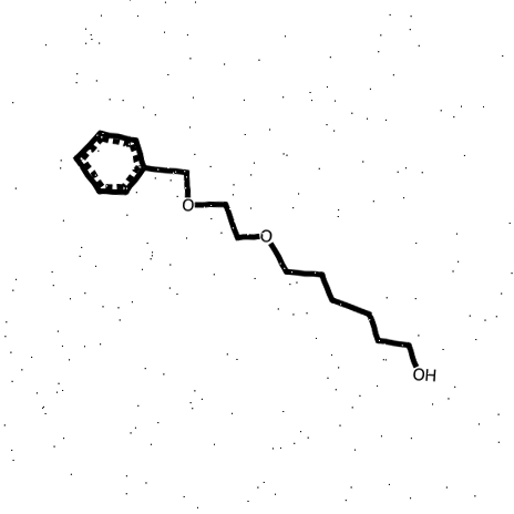 OCCCCCCOCCOCc1ccccc1